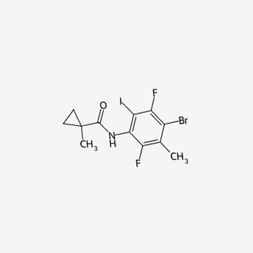 Cc1c(F)c(NC(=O)C2(C)CC2)c(I)c(F)c1Br